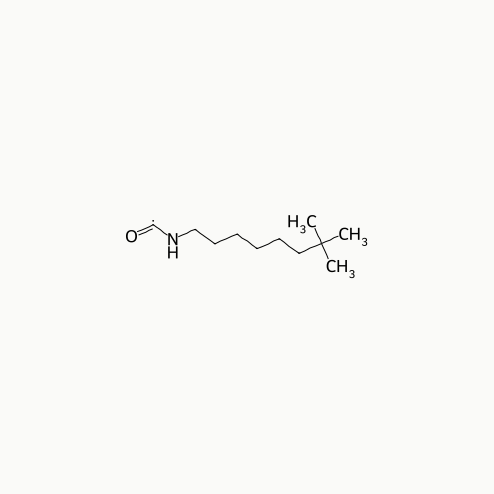 CC(C)(C)CCCCCCN[C]=O